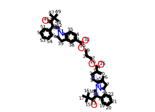 C=C(/C=C\C1=C(C)CCN1/C=C(/C(=O)C(C)(C)C)c1ccccc1)C(=O)OCCCOC(=O)c1ccc2c(c1)CCN2/C=C(/C(=O)C(C)(C)C)c1ccccc1